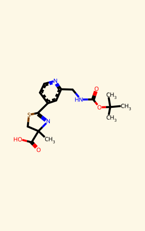 CC(C)(C)OC(=O)NCc1cc(C2=NC(C)(C(=O)O)CS2)ccn1